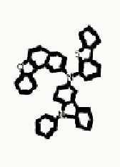 c1ccc(-n2c3ccccc3c3cc(N(c4ccc5ccc6oc7ccccc7c6c5c4)c4cccc5c4sc4ccccc45)ccc32)cc1